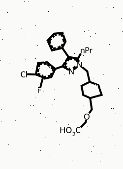 CCCc1c(-c2ccccc2)c(-c2ccc(Cl)c(F)c2)nn1CC1CCC(COCC(=O)O)CC1